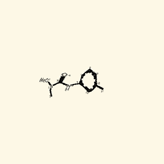 CON(C)C(=O)Nc1cc[c]c(C)c1